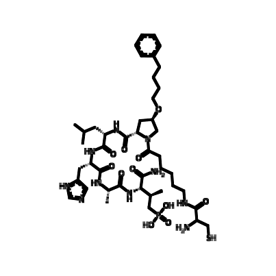 CC(C)C[C@H](NC(=O)[C@@H]1C[C@@H](OCCCCc2ccccc2)CN1C(=O)CCCCCNC(=O)C(N)CS)C(=O)N[C@@H](Cc1cnc[nH]1)C(=O)N[C@@H](C)C(=O)N[C@H](C(N)=O)[C@@H](C)CP(=O)(O)O